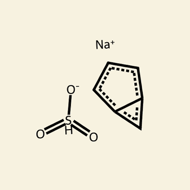 O=[SH](=O)[O-].[Na+].c1cc2cc-2c1